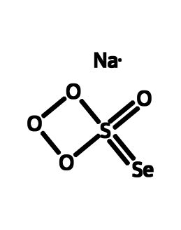 O=S1(=[Se])OOO1.[Na]